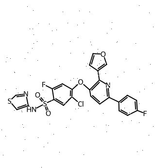 O=S(=O)(Nc1cscn1)c1cc(Cl)c(Oc2ccc(-c3ccc(F)cc3)nc2-c2ccoc2)cc1F